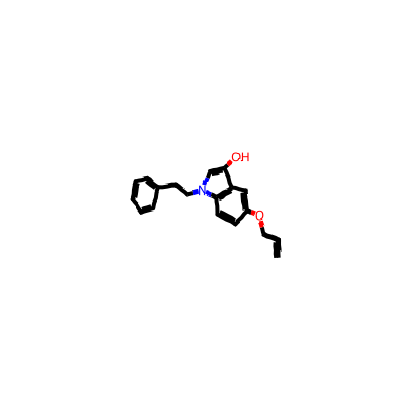 C=CCOc1ccc2c(c1)c(O)cn2CCc1ccccc1